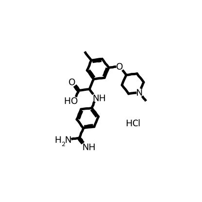 Cc1cc(OC2CCN(C)CC2)cc(C(Nc2ccc(C(=N)N)cc2)C(=O)O)c1.Cl